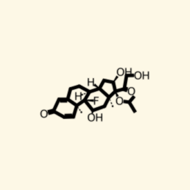 CC(C)O[C@]1(C(=O)CO)[C@H](O)C[C@H]2[C@@H]3CCC4=CC(=O)C=C[C@]4(C)[C@@]3(F)[C@@H](O)C[C@@]21C